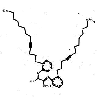 CCCCCCCCCCCCCCCCCC#CCCCc1ccccc1N=C(CCCC)C(CCCCC)=Nc1ccccc1CCCC#CCCCCCCCCCCCCCCCCC.[Ni]